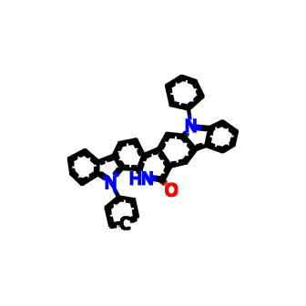 O=c1[nH]c2c(ccc3c4ccccc4n(-c4ccccc4)c32)c2cc3c(cc12)c1ccccc1n3-c1ccccc1